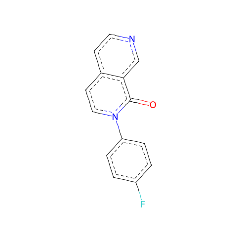 O=c1c2cnccc2ccn1-c1ccc(F)cc1